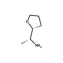 C[C@@H](N)[C@H]1CCCO1